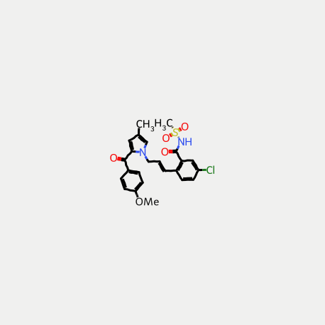 COc1ccc(C(=O)c2cc(C)cn2CC=Cc2ccc(Cl)cc2C(=O)NS(C)(=O)=O)cc1